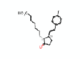 Cc1ccc(C=C[C@H]2CCC(=O)[C@@H]2CCCCCCC(=O)O)cc1